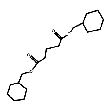 O=C(CCCC(=O)OCC1CCCCC1)OCC1CCCCC1